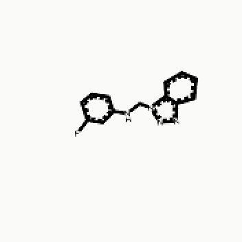 Fc1cccc(NCn2nnc3ccccc32)c1